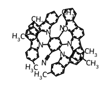 Cc1ccc2c(c1)c1ccc3c4ccccc4oc3c1n2-c1c(C#N)c(-n2c3cc(C)ccc3c3ccc(C)cc32)c(-n2c3cc(C)ccc3c3ccc(C)cc32)c(C#N)c1-n1c2cc(C)ccc2c2ccc(C)cc21